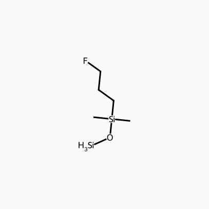 C[Si](C)(CCCF)O[SiH3]